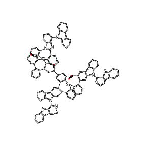 c1ccc2c(c1)-c1ccccc1[Si]1(c3ccc(-c4ccc5c(c4)-c4cc6c7ccccc7n(-c7nccc8c7sc7ccccc78)c6cc4-c4ccccc4[Si]54c5ccccc5-c5cc6c7ccccc7n(-c7nccc8c7sc7ccccc78)c6cc5-c5ccccc54)cc3-2)c2ccccc2-c2nc3c(-n4c5ccccc5c5ccccc54)cccc3n2-c2ccccc21